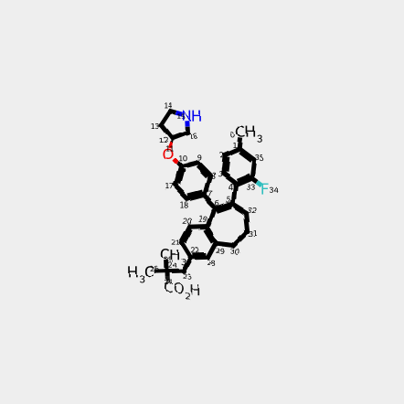 Cc1ccc(C2=C(c3ccc(O[C@H]4CCNC4)cc3)c3ccc(CC(C)(C)C(=O)O)cc3CCC2)c(F)c1